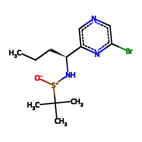 CCC[C@@H](N[S+]([O-])C(C)(C)C)c1cncc(Br)n1